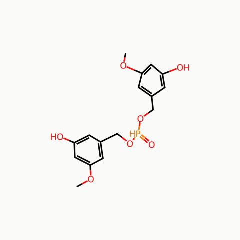 COc1cc(O)cc(CO[PH](=O)OCc2cc(O)cc(OC)c2)c1